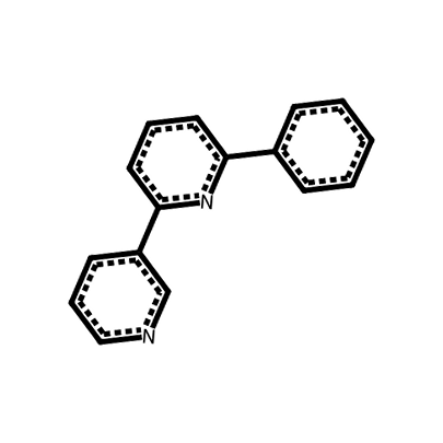 c1ccc(-c2cccc(-c3cccnc3)n2)cc1